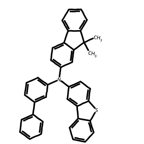 CC1(C)c2ccccc2-c2ccc(N(c3cccc(-c4ccccc4)c3)c3ccc4sc5ccccc5c4c3)cc21